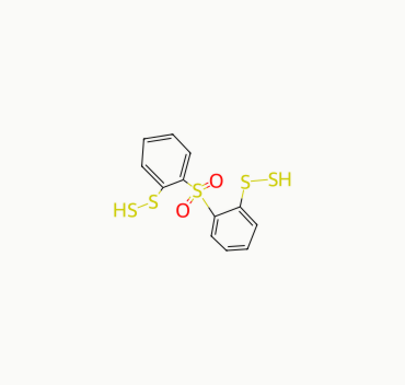 O=S(=O)(c1ccccc1SS)c1ccccc1SS